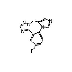 Fc1ccc2c(c1)-c1ncnn1Cc1cncn1-2